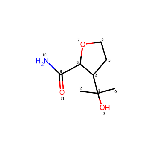 CC(C)(O)C1CCOC1C(N)=O